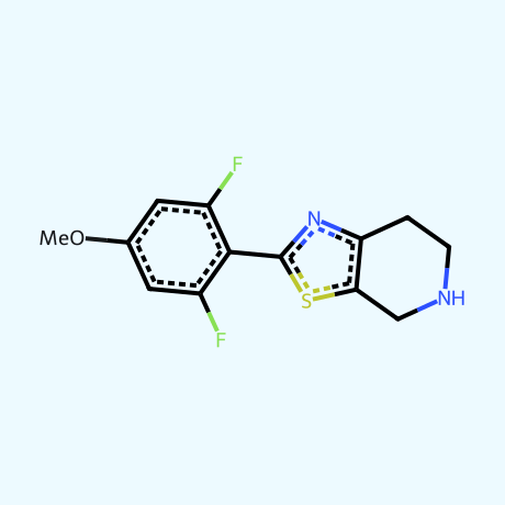 COc1cc(F)c(-c2nc3c(s2)CNCC3)c(F)c1